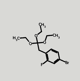 CCOC(Cc1ccc(Br)cc1F)(OCC)OCC